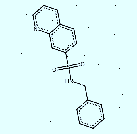 O=S(=O)(NCc1ccccc1)c1ccc2cccnc2c1